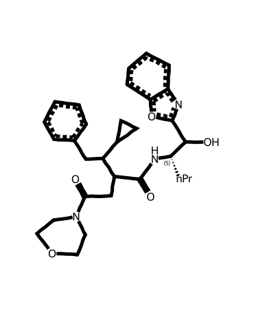 CCC[C@H](NC(=O)C(CC(=O)N1CCOCC1)C(Cc1ccccc1)C1CC1)C(O)c1nc2ccccc2o1